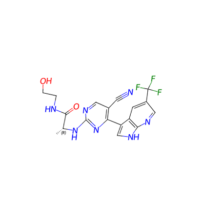 C[C@@H](Nc1ncc(C#N)c(-c2c[nH]c3ncc(C(F)(F)F)cc23)n1)C(=O)NCCO